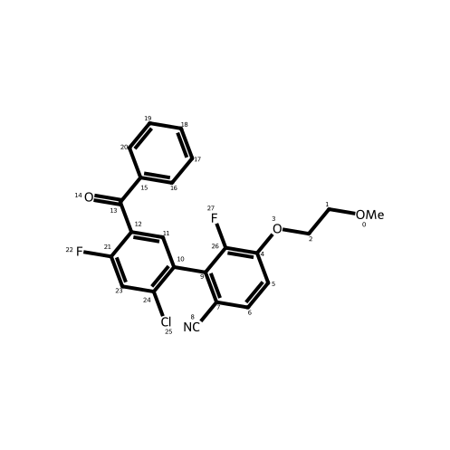 COCCOc1ccc(C#N)c(-c2cc(C(=O)c3ccccc3)c(F)cc2Cl)c1F